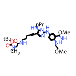 CCCNc1nc(Nc2ccc(NCCOC)c(C(=N)OC)c2)ncc1C#CCCCNC(=O)CN(C)C(=O)OC(C)(C)C